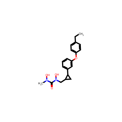 CCc1ccc(Oc2cccc(C3CC3CN(O)C(=O)N(C)O)c2)cc1